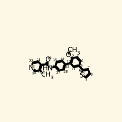 COc1ccc(-c2cccs2)cc1-c1ccc(NC(=O)c2ccncc2C)cc1